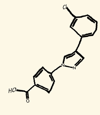 O=C(O)c1ccc(-n2cc(-c3cccc(Cl)c3)cn2)cc1